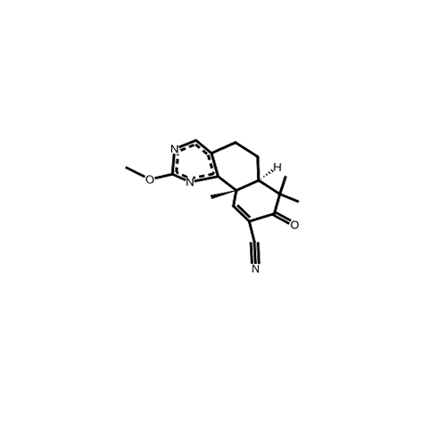 COc1ncc2c(n1)[C@@]1(C)C=C(C#N)C(=O)C(C)(C)[C@@H]1CC2